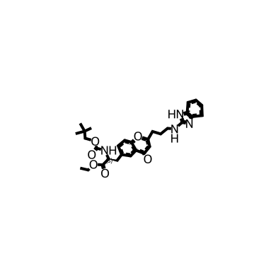 CCOC(=O)[C@H](Cc1ccc2oc(CCCNc3nc4ccccc4[nH]3)cc(=O)c2c1)NC(=O)OCC(C)(C)C